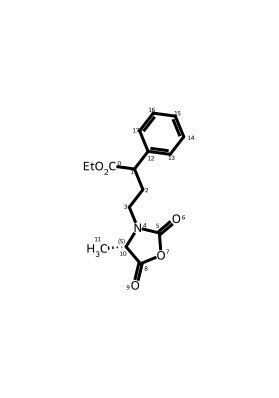 CCOC(=O)C(CCN1C(=O)OC(=O)[C@@H]1C)c1ccccc1